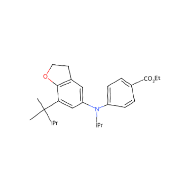 CCOC(=O)c1ccc(N(c2cc3c(c(C(C)(C)C(C)C)c2)OCC3)C(C)C)cc1